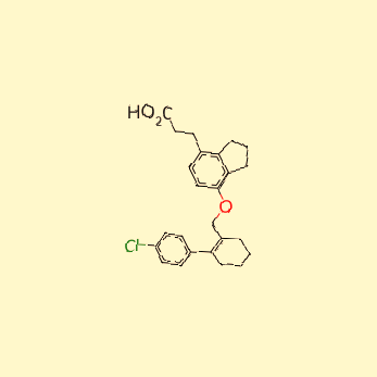 O=C(O)CCc1ccc(OCC2=C(c3ccc(Cl)cc3)CCCC2)c2c1CCC2